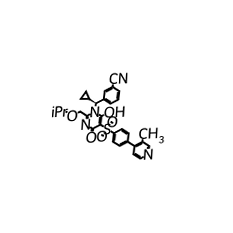 Cc1cnccc1-c1ccc(S(=O)(=O)c2c(O)n([C@H](c3cccc(C#N)c3)C3CC3)c(COC(C)C)nc2=O)cc1